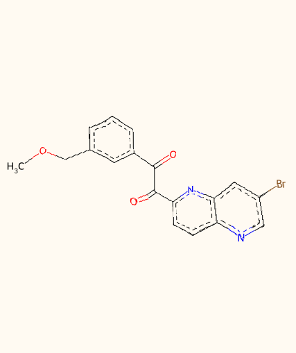 COCc1cccc(C(=O)C(=O)c2ccc3ncc(Br)cc3n2)c1